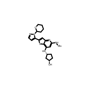 CC(C)(C)Nc1cc(N[C@@H]2CC[C@@H](O)C2)c2sc(-c3ccnn3C3CCCCO3)cc2n1